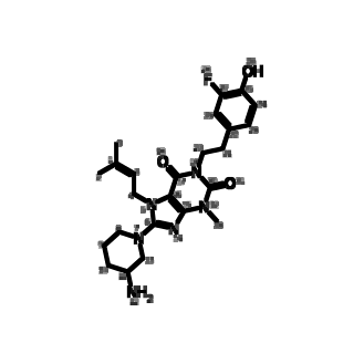 CC(C)=CCn1c(N2CCCC(N)C2)nc2c1c(=O)n(CCc1ccc(O)c(F)c1)c(=O)n2C